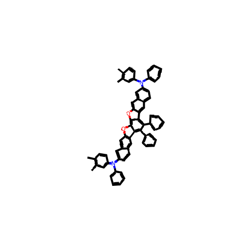 Cc1ccc(N(c2ccccc2)c2ccc3cc4c(cc3c2)oc2c3oc5cc6cc(N(c7ccccc7)c7ccc(C)c(C)c7)ccc6cc5c3c(-c3ccccc3)c(-c3ccccc3)c42)cc1C